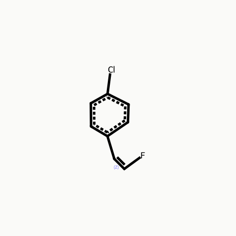 F/C=C\c1ccc(Cl)cc1